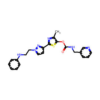 Cc1nc(-c2ccn(CCNc3ccccc3)n2)sc1OC(=O)NCc1cccnc1